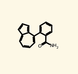 NC(=O)c1ccccc1-c1ccccc2cccc1-2